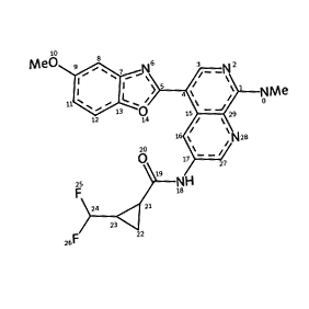 CNc1ncc(-c2nc3cc(OC)ccc3o2)c2cc(NC(=O)C3CC3C(F)F)cnc12